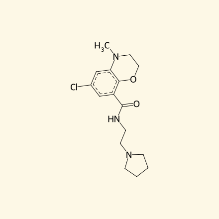 CN1CCOc2c(C(=O)NCCN3CCCC3)cc(Cl)cc21